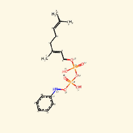 CC(C)=CCC/C(C)=C/COP(=O)(O)OP(=O)(O)ONc1ccccc1